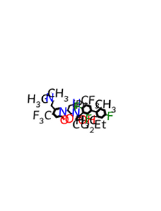 CCOC(=O)C[C@](O)(NC(=O)C(CC(C)C)n1cc(CCN(C)C)c(C(F)(F)F)cc1=O)c1c(F)c(-c2c(C)cc(F)cc2C)cc(C(F)(F)F)c1F